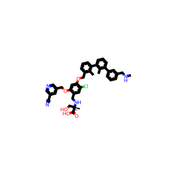 CNCc1cccc(-c2cccc(-c3cccc(COc4cc(OCc5cncc(C#N)c5)c(CN[C@@](C)(CO)C(=O)O)cc4Cl)c3C)c2C)c1